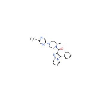 C[C@@H]1CCN(c2cnc(C(F)(F)F)cn2)CCN1C(=O)c1nc2ccccn2c1-c1ccccc1